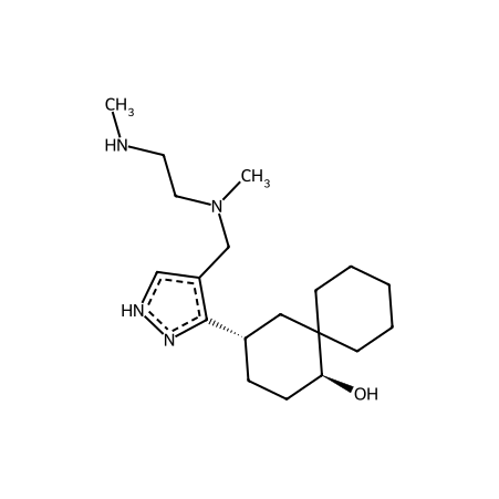 CNCCN(C)Cc1c[nH]nc1[C@H]1CC[C@H](O)C2(CCCCC2)C1